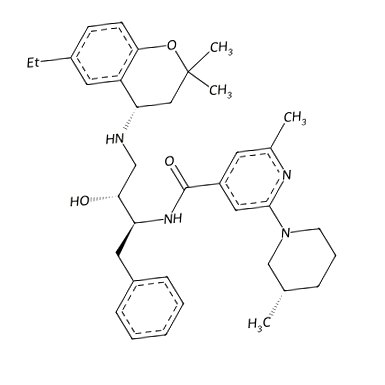 CCc1ccc2c(c1)[C@@H](NC[C@@H](O)[C@H](Cc1ccccc1)NC(=O)c1cc(C)nc(N3CCC[C@H](C)C3)c1)CC(C)(C)O2